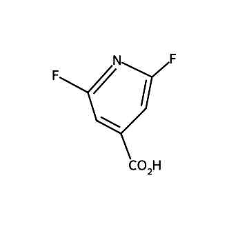 O=C(O)c1cc(F)nc(F)c1